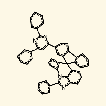 c1ccc(-c2cc(-c3ccc4c(c3)C3(c5ccccc5-4)c4ccccc4-n4c(-c5ccccc5)nc5cccc3c54)nc(-c3ccccc3)n2)cc1